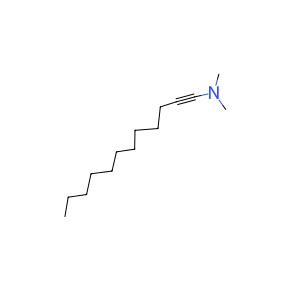 CCCCCCCCCCC#CN(C)C